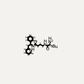 CC[C@H](C)[C@H](N)C(=O)NCCCC(=O)NC(Cc1ccccn1)c1ccccc1